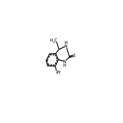 CC(C)c1cccc2c1NC(=S)NC2C